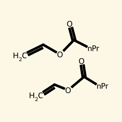 C=COC(=O)CCC.C=COC(=O)CCC